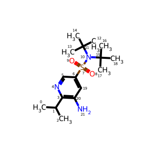 CC(C)c1ncc(S(=O)(=O)N(C(C)(C)C)C(C)(C)C)cc1N